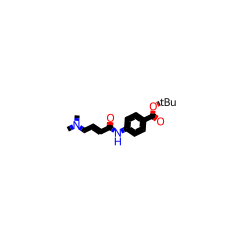 CN(C)CC=CC(=O)Nc1ccc(C(=O)OC(C)(C)C)cc1